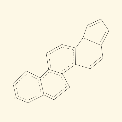 [c]1ccc2c(c1)ccc1c3c(ccc12)C1C=CC=C1C=C3